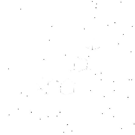 CC(C[C@@H]1CCCC[C@H]1O[Si](C)(C)C(C)(C)C)CN(C)C(=O)OC(C)(C)C